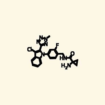 Cn1nnc(-c2c(Cl)c3ccccc3n2-c2ccc(CNC(=O)C3(N)CC3)c(F)c2)n1